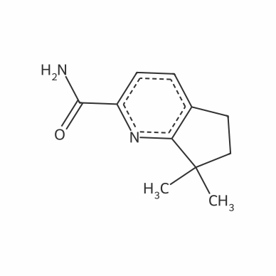 CC1(C)CCc2ccc(C(N)=O)nc21